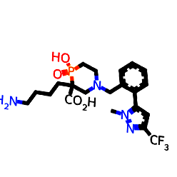 Cn1nc(C(F)(F)F)cc1-c1ccccc1CN1CCP(=O)(O)C(CCCCN)(C(=O)O)C1